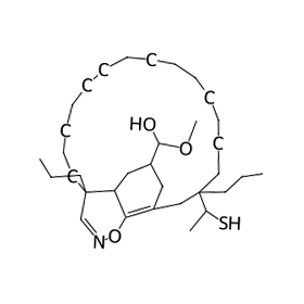 CCCC12C=NOC3=C(CC(C(O)OC)CC31)CC(CCC)(C(C)S)CCCCCCCCCCCCCC2